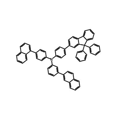 c1ccc(C2(c3ccccc3)c3ccccc3-c3ccc(-c4ccc(N(c5ccc(-c6cccc7ccccc67)cc5)c5cccc(-c6ccc7ccccc7c6)c5)cc4)cc32)cc1